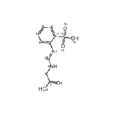 O=C(O)CNN=Nc1ccccc1S(=O)(=O)O